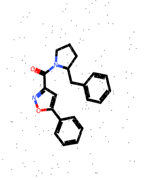 O=C(c1cc(-c2ccccc2)on1)N1CCCC1Cc1ccccc1